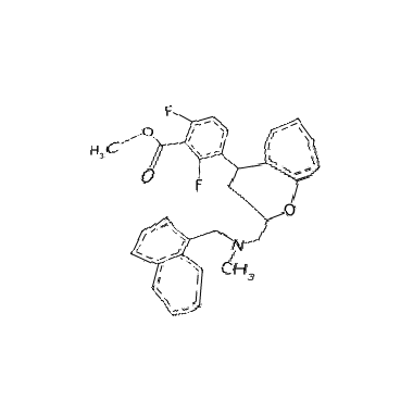 COC(=O)c1c(F)ccc(C2CC(CN(C)Cc3cccc4ccccc34)Oc3ccccc32)c1F